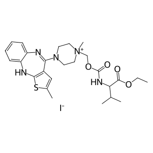 CCOC(=O)C(NC(=O)OC[N+]1(C)CCN(C2=Nc3ccccc3Nc3sc(C)cc32)CC1)C(C)C.[I-]